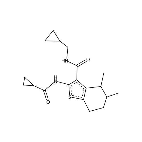 CC1CCc2sc(NC(=O)C3CC3)c(C(=O)NCC3CC3)c2C1C